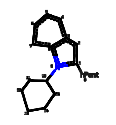 CCCCCc1cc2ccccc2n1C1CCCCC1